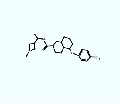 CC(NC(=O)C1CCC2C(CCCC2Oc2ccc(C(F)(F)F)cc2)C1)C1CN(C)C1